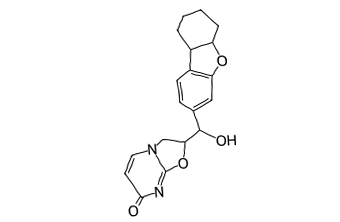 O=c1ccn2c(n1)OC(C(O)c1ccc3c(c1)OC1CCCCC31)C2